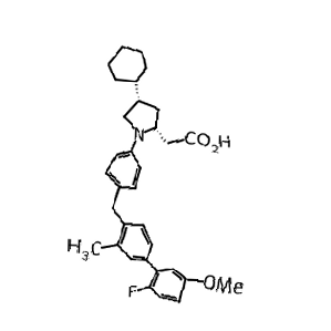 COc1ccc(F)c(-c2ccc(Cc3ccc(N4C[C@H](C5CCCCC5)C[C@@H]4CC(=O)O)cc3)c(C)c2)c1